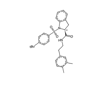 Cc1ccc(CCNC(=O)[C@@H]2Cc3ccccc3N2S(=O)(=O)c2ccc(C(C)(C)C)cc2)cc1C